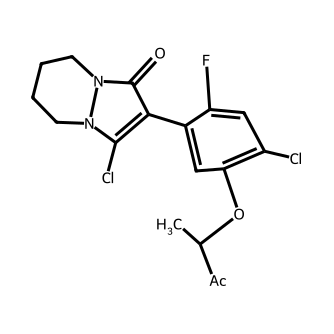 CC(=O)C(C)Oc1cc(-c2c(Cl)n3n(c2=O)CCCC3)c(F)cc1Cl